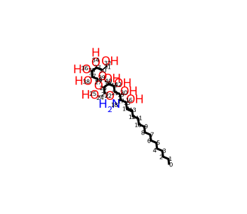 CCCCCCCCCCCCC/C=C/[C@@H](O)[C@@H](N)C(O)C1O[C@H](CO)[C@@H](O[C@@H]2O[C@H](CO)[C@H](O)[C@H](O)[C@H]2O)[C@H](O)[C@H]1O